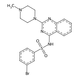 CN1CCN(c2nc(NS(=O)(=O)c3cccc(Br)c3)c3ccccc3n2)CC1